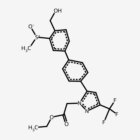 CCOC(=O)Cn1nc(C(F)(F)F)cc1-c1ccc(-c2ccc(CO)c([S+](C)[O-])c2)cc1